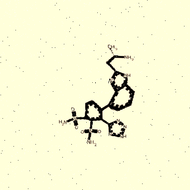 C[C@H](N)Cc1nc2c(-c3ccc(S(N)(=O)=O)c(S(N)(=O)=O)c3-c3nn[nH]n3)cccc2[nH]1